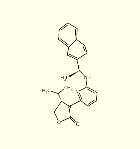 CC(C)[C@H]1COC(=O)N1c1ccnc(N[C@@H](C)c2ccc3ccccc3c2)n1